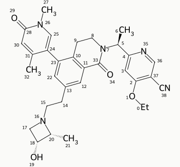 CCOc1cc([C@H](C)N2CCc3c(cc(CCN4C[C@@H](O)[C@H]4C)cc3-c3cn(C)c(=O)cc3C)C2=O)ncc1C#N